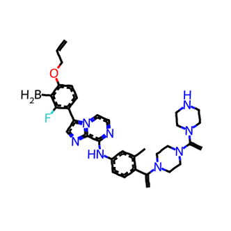 Bc1c(OCC=C)ccc(-c2cnc3c(Nc4ccc(C(=C)N5CCN(C(=C)N6CCNCC6)CC5)c(C)c4)nccn23)c1F